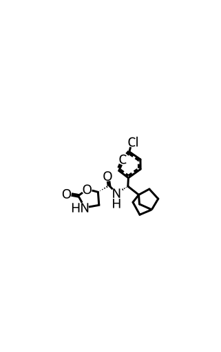 O=C1NC[C@@H](C(=O)N[C@H](c2ccc(Cl)cc2)C23CCC(CC2)C3)O1